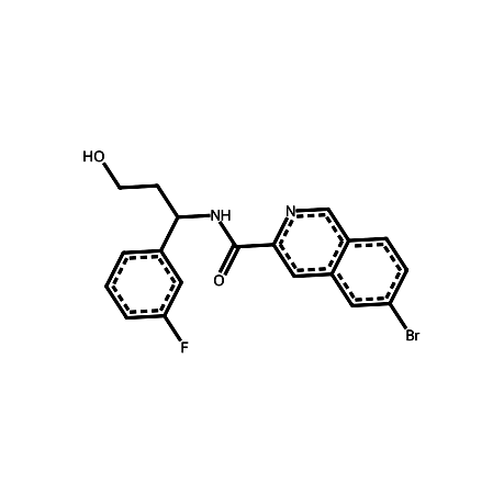 O=C(NC(CCO)c1cccc(F)c1)c1cc2cc(Br)ccc2cn1